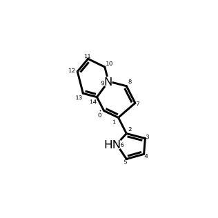 [C]1=C(c2ccc[nH]2)C=CN2CC=CC=C12